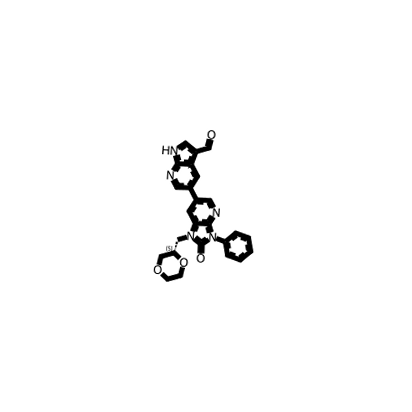 O=Cc1c[nH]c2ncc(-c3cnc4c(c3)n(C[C@H]3COCCO3)c(=O)n4-c3ccccc3)cc12